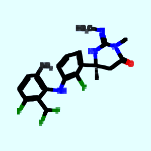 CN1C(=O)C[C@@](C)(c2cccc(Nc3c([N+](=O)[O-])ccc(F)c3C(F)F)c2F)N/C1=N\C(=O)O